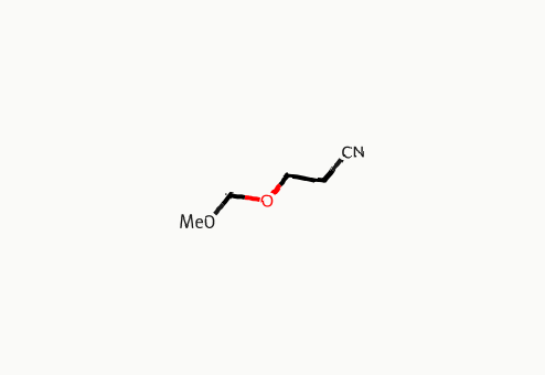 CO[CH]OCCC#N